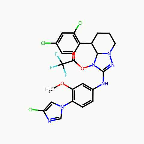 COc1cc(NC2=NN3CCCC(c4ccc(Cl)cc4Cl)C3N2OC(=O)C(F)(F)F)ccc1-n1cnc(Cl)c1